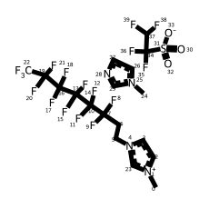 C[n+]1ccn(CCC(F)(F)C(F)(F)C(F)(F)C(F)(F)C(F)(F)C(F)(F)F)c1.Cn1ccnc1.O=S(=O)([O-])C(F)(F)C(F)F